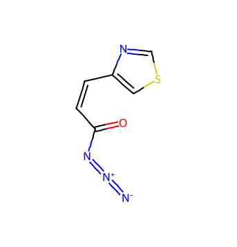 [N-]=[N+]=NC(=O)/C=C\c1cscn1